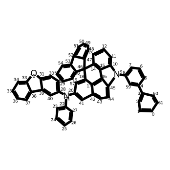 c1ccc(-c2cccc(-n3c4cccc5c4c4c6c(cc(N(c7ccccc7)c7ccc8oc9ccccc9c8c7)cc6ccc43)C53c4ccccc4-c4ccccc43)c2)cc1